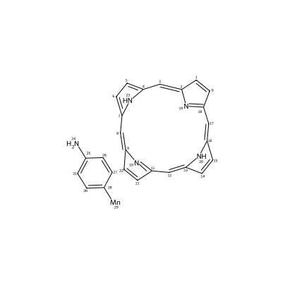 C1=Cc2cc3ccc(cc4nc(cc5ccc(cc1n2)[nH]5)C=C4)[nH]3.Nc1cc[c]([Mn])cc1